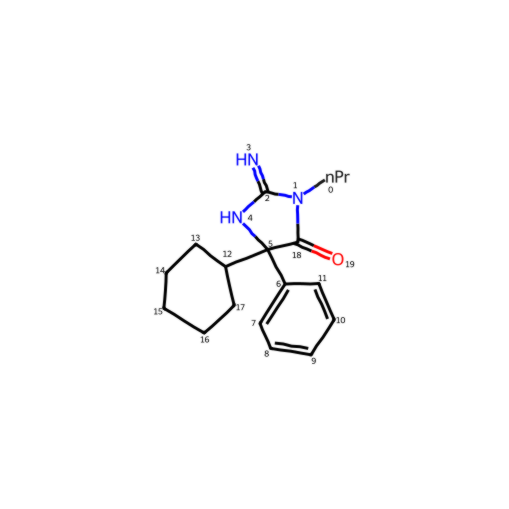 CCCN1C(=N)NC(c2ccccc2)(C2CCCCC2)C1=O